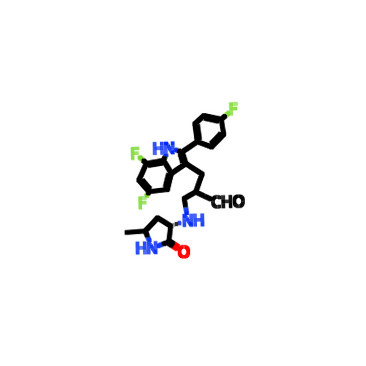 CC1C[C@H](NCC(C=O)Cc2c(-c3ccc(F)cc3)[nH]c3c(F)cc(F)cc23)C(=O)N1